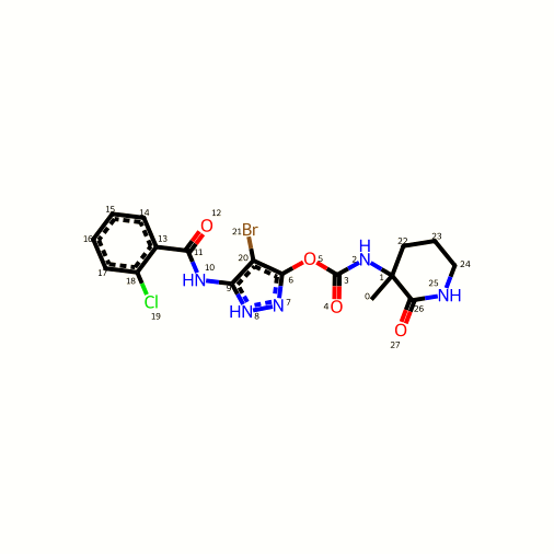 CC1(NC(=O)Oc2n[nH]c(NC(=O)c3ccccc3Cl)c2Br)CCCNC1=O